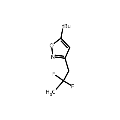 CC(F)(F)Cc1cc(C(C)(C)C)on1